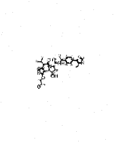 Cc1ncsc1-c1ccc([C@H](C)NC(=O)[C@@H]2C[C@@H](O)CN2C(=O)[C@@H](c2cc(OCC=O)no2)C(C)C)cc1